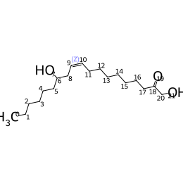 CCCCCCC(O)C/C=C\CCCCCCCC(=O)CO